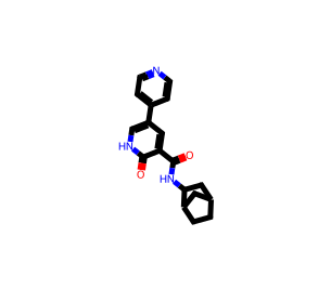 O=C(NC1CC2CCC1C2)c1cc(-c2ccncc2)c[nH]c1=O